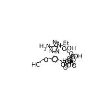 C#CCOCc1ccc(COP(=O)(O)OP(=O)(O)OP(=O)(O)OC[C@H](O)O[C@H](CC)n2cnc3c(N)ncnc32)cc1